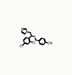 N#Cc1ccc(CSC(Cn2ccnc2)c2ccc(Cl)cc2Cl)cc1